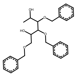 CC(O)C(OCc1ccccc1)C(OCc1ccccc1)C(O)COCc1ccccc1